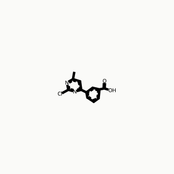 Cc1cc(-c2cccc(C(=O)O)c2)nc(Cl)n1